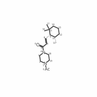 CC(=O)N1CCN(C(=O)/C=C/[C@H]2[C@@H](C)CCCC2(C)C)CC1